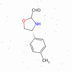 Cc1ccc([C@@H]2COC(C=O)N2)cc1